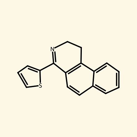 c1csc(C2=NCCc3c2ccc2ccccc32)c1